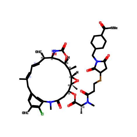 CNC(=O)C1CCC(CN2C(=O)CC(SCCC(=O)N(C)[C@H](C)C(=O)O[C@H]3CC(=O)N(C)c4cc(cc(C=O)c4Cl)C/C(C)=C/C=C/[C@@H](C=O)[C@@]4(O)C[C@H](OC(=O)N4)[C@@H](C)[C@@H]4O[C@@]34C)C2=O)CC1